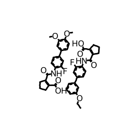 CCOc1cccc(-c2ccc(NC(=O)C3=C(C(=O)O)CCC3)c(F)c2)c1.COc1ccc(-c2ccc(NC(=O)C3=C(C(=O)O)CCC3)c(F)c2)cc1OC